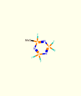 CSP1(F)=NP(F)(F)=NP(F)(F)=N1